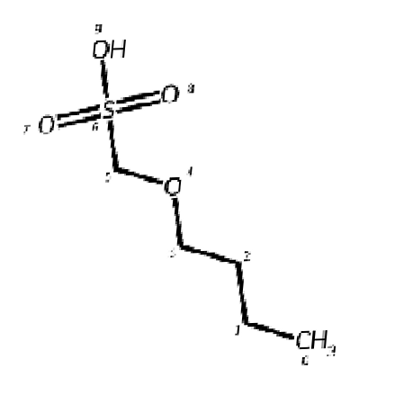 CCCCOCS(=O)(=O)O